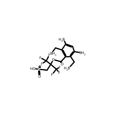 BCc1c(B)cc(B)c(CB)c1C(=O)OC(CS(=O)(=O)O)(C(F)(F)F)C(F)(F)F